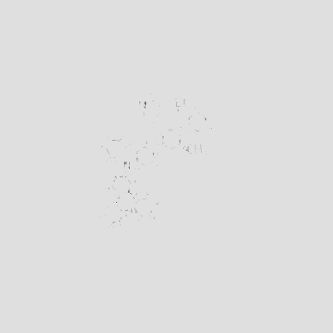 CCC(Cc1ccncc1)c1ccccc1-c1ccc(-c2ccc3c(c2)C2C=CC=CC2N3c2ccc3c4ccccc4c4ccccc4c3c2)cc1C